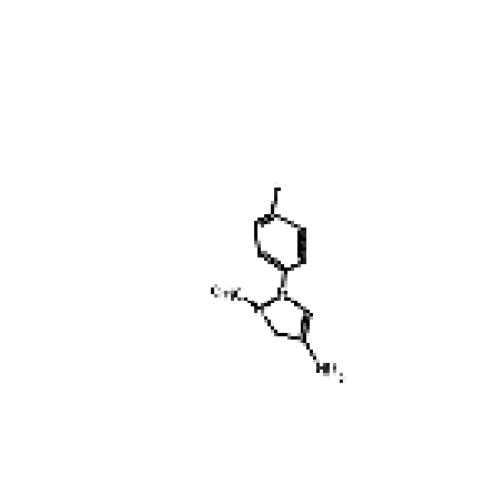 NC1=CN(c2ccc(F)cc2)N(C=O)C1